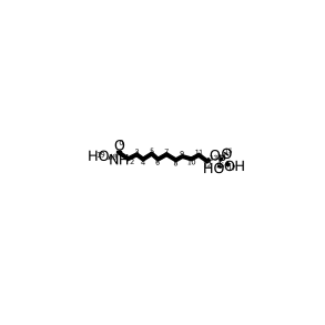 O=C(CCCCCCCCCCCOP(=O)(O)O)NO